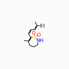 CC/C(C)=C/C=C\C1=C(C)CCCNS1(=O)=O